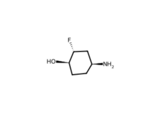 N[C@H]1CC[C@@H](O)[C@H](F)C1